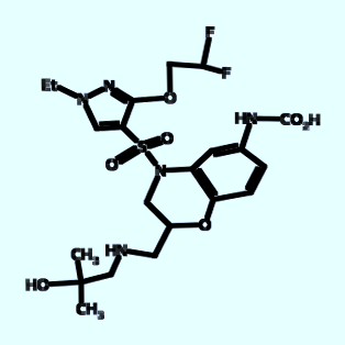 CCn1cc(S(=O)(=O)N2CC(CNCC(C)(C)O)Oc3ccc(NC(=O)O)cc32)c(OCC(F)F)n1